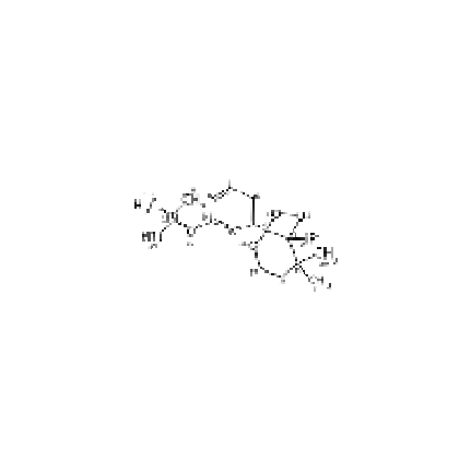 CC(C)C12OOC1(c1cccc(O[Si](C)(C)C(C)(C)C)c1)OCCC2(C)C